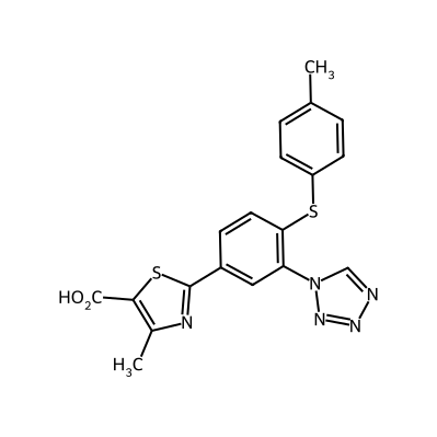 Cc1ccc(Sc2ccc(-c3nc(C)c(C(=O)O)s3)cc2-n2cnnn2)cc1